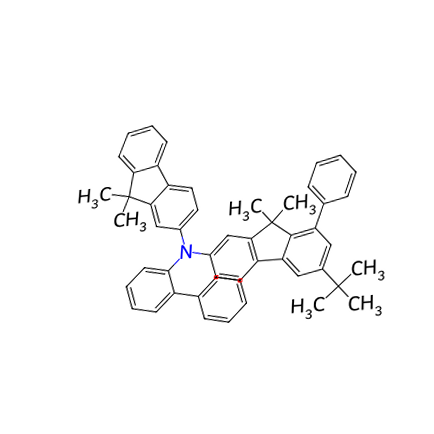 CC(C)(C)c1cc(-c2ccccc2)c2c(c1)-c1ccc(N(c3ccc4c(c3)C(C)(C)c3ccccc3-4)c3ccccc3-c3ccccc3)cc1C2(C)C